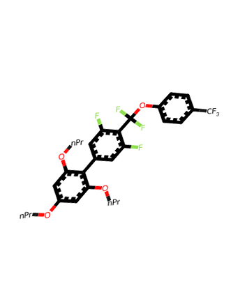 CCCOc1cc(OCCC)c(-c2cc(F)c(C(F)(F)Oc3ccc(C(F)(F)F)cc3)c(F)c2)c(OCCC)c1